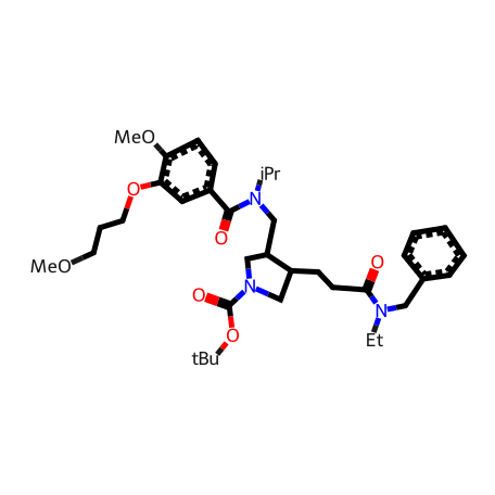 CCN(Cc1ccccc1)C(=O)CCC1CN(C(=O)OC(C)(C)C)CC1CN(C(=O)c1ccc(OC)c(OCCCOC)c1)C(C)C